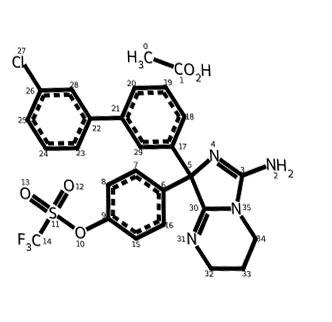 CC(=O)O.NC1=NC(c2ccc(OS(=O)(=O)C(F)(F)F)cc2)(c2cccc(-c3cccc(Cl)c3)c2)C2=NCCCN12